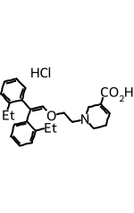 CCc1ccccc1C(=COCCN1CCC=C(C(=O)O)C1)c1ccccc1CC.Cl